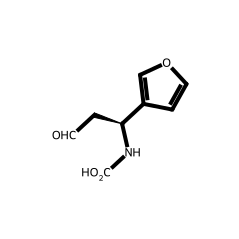 O=CC[C@H](NC(=O)O)c1ccoc1